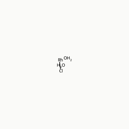 O.O.[Cl][Rh]